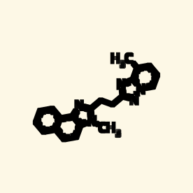 Cc1cccn2nc(CCc3nc4c5ccccc5ccc4n3C)nc12